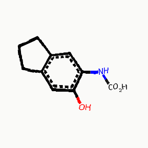 O=C(O)Nc1cc2c(cc1O)CCC2